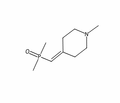 CN1CCC(=CP(C)(C)=O)CC1